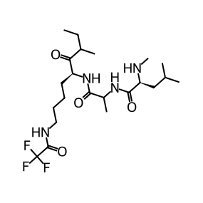 CCC(C)C(=O)[C@H](CCCCNC(=O)C(F)(F)F)NC(=O)C(C)NC(=O)[C@H](CC(C)C)NC